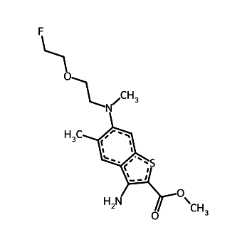 COC(=O)c1sc2cc(N(C)CCOCCF)c(C)cc2c1N